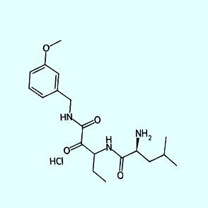 CCC(NC(=O)[C@@H](N)CC(C)C)C(=O)C(=O)NCc1cccc(OC)c1.Cl